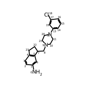 Nc1ccc2c(c1)C(CN1CCN(c3cccc(Cl)c3)CC1)CC2